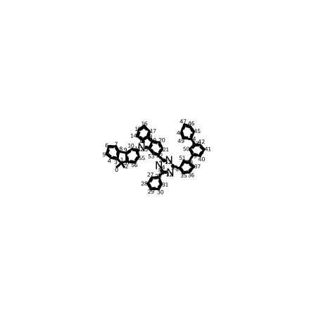 CC1(C)c2ccccc2-c2cc(-n3c4ccccc4c4ccc(-c5nc(-c6ccccc6)nc(-c6cccc(-c7cccc(-c8ccccc8)c7)c6)n5)cc43)ccc21